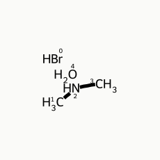 Br.CNC.O